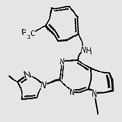 Cc1ccn(-c2nc(Nc3cccc(C(F)(F)F)c3)c3ccn(C)c3n2)n1